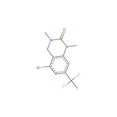 CN1Cc2c(Br)cc(C(C)(F)F)cc2N(C)C1=O